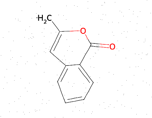 [CH2]c1cc2ccccc2c(=O)o1